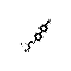 C[C@@H](CO)COc1ccc(-c2ccc(C#N)cc2)cc1